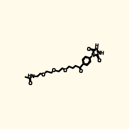 CC(=O)NCCOCCOCCOCCCC(=O)c1ccc(-n2c(=O)[nH][nH]c2=O)cc1